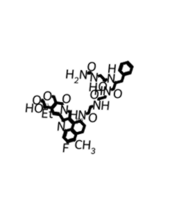 CC[C@@]1(O)C(=O)OCc2c1cc1n(c2=O)Cc2c-1nc1cc(F)c(C)c3c1c2[C@@H](NC(=O)CNC(=O)CNC(=O)C(Cc1ccccc1)NC(=O)CNC(N)=O)CC3